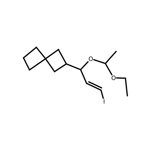 CCOC(C)OC(/C=C/I)C1CC2(CCC2)C1